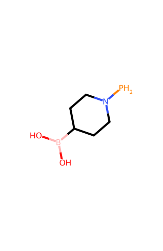 OB(O)C1CCN(P)CC1